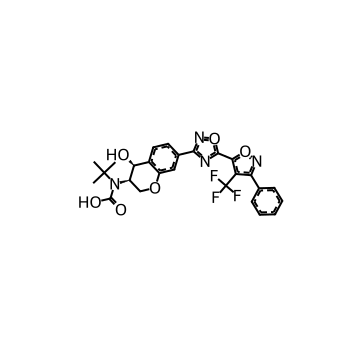 CC(C)(C)N(C(=O)O)[C@@H]1COc2cc(-c3noc(-c4onc(-c5ccccc5)c4C(F)(F)F)n3)ccc2[C@@H]1O